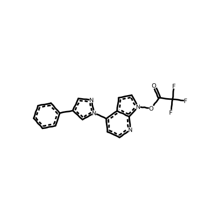 O=C(On1ccc2c(-n3cc(-c4ccccc4)cn3)ccnc21)C(F)(F)F